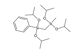 CC(C)O[Si](C)(C[Si](OC(C)C)(OC(C)C)c1ccccc1)OC(C)C